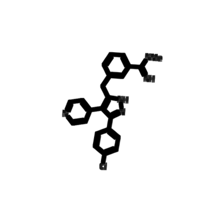 CNC(=N)c1cccc(Cc2[nH]nc(-c3ccc(Cl)cc3)c2-c2ccncc2)c1